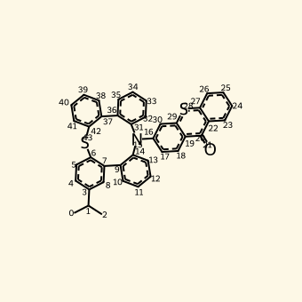 CC(C)c1ccc2c(c1)-c1ccccc1N(c1ccc3c(=O)c4ccccc4sc3c1)c1ccccc1-c1ccccc1S2